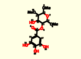 COC1OC(OC)C(OC(=O)c2cc(O)c(O)c(O)c2)C(O)C1OC